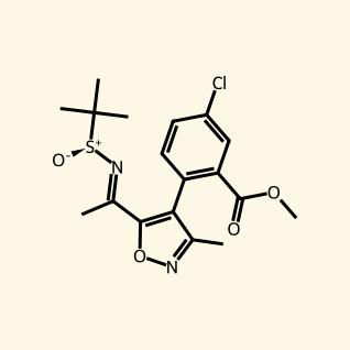 COC(=O)c1cc(Cl)ccc1-c1c(C)noc1C(C)=N[S@@+]([O-])C(C)(C)C